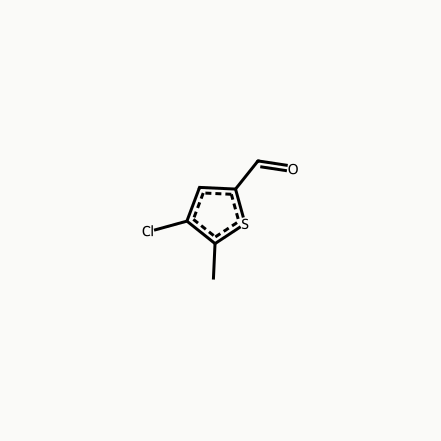 Cc1sc(C=O)cc1Cl